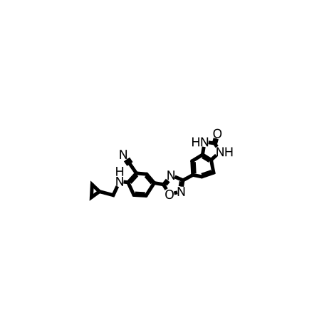 N#Cc1cc(-c2nc(-c3ccc4[nH]c(=O)[nH]c4c3)no2)ccc1NCC1CC1